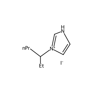 CCCC(CC)[n+]1cc[nH]c1.[I-]